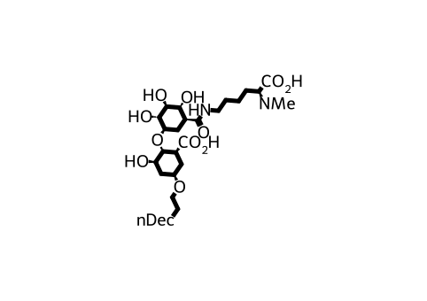 CCCCCCCCCCCCO[C@H]1C[C@@H](O)[C@H](O[C@@H]2C[C@H](C(=O)NCCCC[C@H](NC)C(=O)O)[C@@H](O)[C@H](O)[C@H]2O)[C@@H](C(=O)O)C1